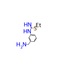 CCSC(=N)Nc1cccc(CN)c1